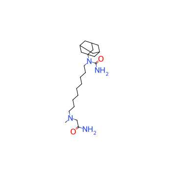 CN(CCCCCCCCCN(C(N)=O)C12CC3CC(CC(C3)C1)C2)CC(N)=O